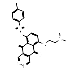 Cc1ccc(S(=O)(=O)Oc2ccc(NCCN(C)C)c3c2C(=O)c2cnncc2C3=O)cc1